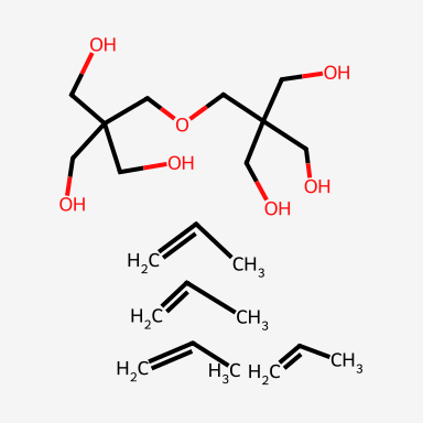 C=CC.C=CC.C=CC.C=CC.OCC(CO)(CO)COCC(CO)(CO)CO